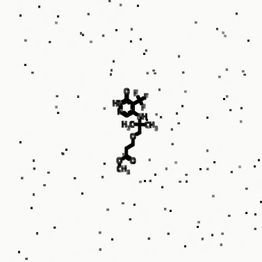 COC(=O)CCOCC(C)(C)Nc1cn[nH]c(=O)c1C(F)(F)F